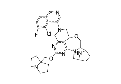 Fc1ccc2cncc(N3Cc4nc(OCC56CCCN5CCC6)nc5c4C(C3)OCC3C4CCC(CN53)N4)c2c1Cl